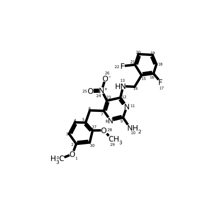 COc1ccc(Cc2nc(N)nc(NCc3c(F)cccc3F)c2[N+](=O)[O-])c(OC)c1